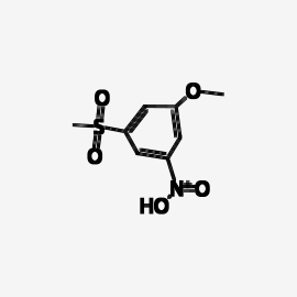 COc1cc([N+](=O)O)cc(S(C)(=O)=O)c1